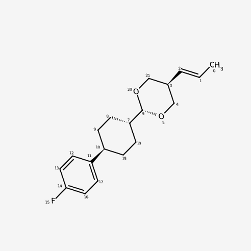 C/C=C/[C@H]1CO[C@H]([C@H]2CC[C@H](c3ccc(F)cc3)CC2)OC1